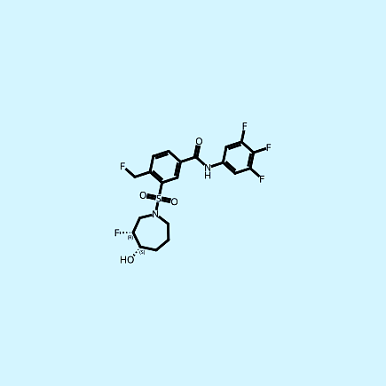 O=C(Nc1cc(F)c(F)c(F)c1)c1ccc(CF)c(S(=O)(=O)N2CCC[C@H](O)[C@H](F)C2)c1